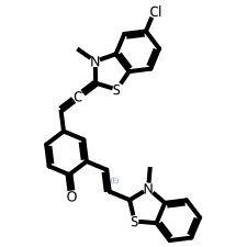 CN1C(=C=CC2C=CC(=O)C(/C=C/C3Sc4ccccc4N3C)=C2)Sc2ccc(Cl)cc21